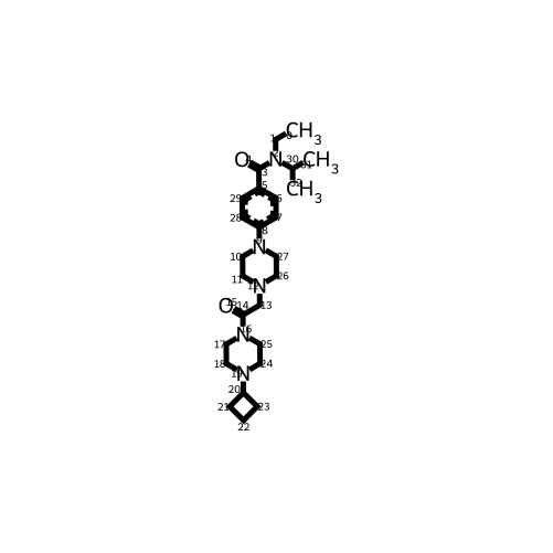 CCN(C(=O)c1ccc(N2CCN(CC(=O)N3CCN(C4CCC4)CC3)CC2)cc1)C(C)C